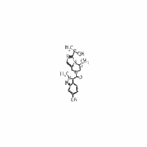 C[C@@H](O)c1ncc2n1[C@@H](C)CN(C(=O)c1c3ccc(C#N)cc3nn1C)C2